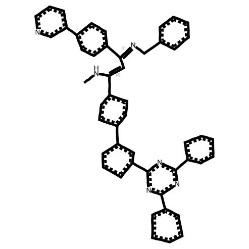 CN/C(=C\C(=N/Cc1ccccc1)c1ccc(-c2cccnc2)cc1)c1ccc(-c2cccc(-c3nc(-c4ccccc4)nc(-c4ccccc4)n3)c2)cc1